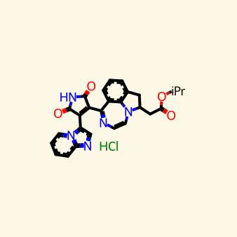 CC(C)OC(=O)CC1Cc2cccc3c2N1C=CN=C3C1=C(c2cnc3ccccn23)C(=O)NC1=O.Cl